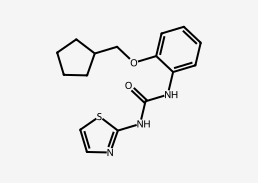 O=C(Nc1nccs1)Nc1ccccc1OCC1CCCC1